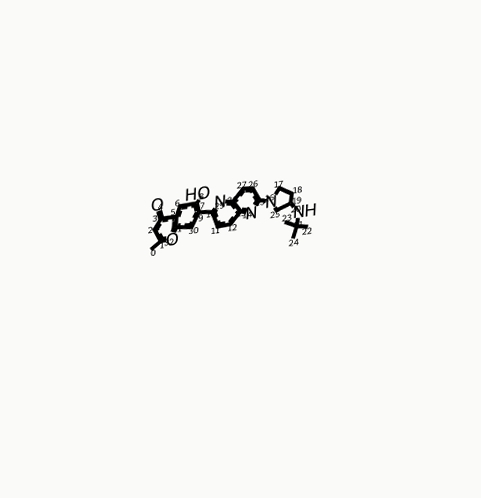 Cc1cc(=O)c2cc(O)c(-c3ccc4nc(N5CCC(NC(C)(C)C)C5)ccc4n3)cc2o1